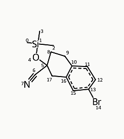 C[Si](C)(C)OC1(C#N)CCc2ccc(Br)cc2C1